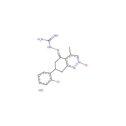 Cc1c[n+]([O-])nc2c1/C(=N/NC(=N)N)CC(c1ccccc1Cl)C2.Cl